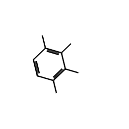 O=C(O)c1c(F)[c]cc(F)c1F